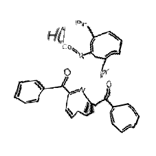 CC(C)c1cccc(C(C)C)c1[N]=[Co].Cl.O=C(c1ccccc1)c1cccc(C(=O)c2ccccc2)n1